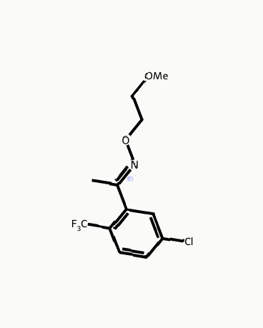 COCCO/N=C(\C)c1cc(Cl)ccc1C(F)(F)F